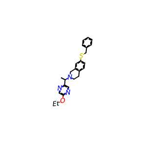 CCOc1cnc(C(C)N2CCc3ccc(SCc4ccccc4)cc3C2)cn1